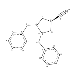 N#C[C@@H]1C[C@@H](Cc2ccccc2)N(Cc2ccccc2)C1